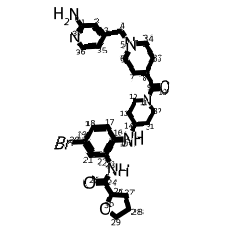 Nc1cc(CN2CCC(C(=O)N3CCC(Nc4ccc(Br)cc4NC(=O)C4CCCO4)CC3)CC2)ccn1